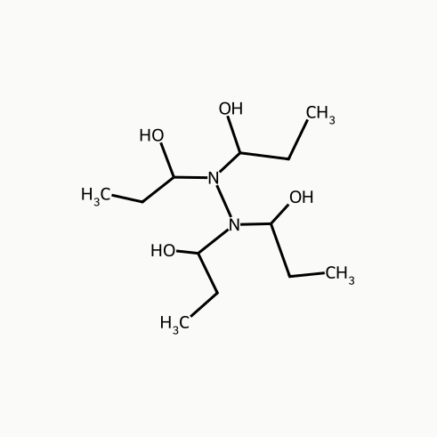 CCC(O)N(C(O)CC)N(C(O)CC)C(O)CC